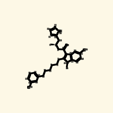 C[C@@H](CC(=O)c1c(CCCCCCc2cccc(Cl)c2)n(C)c2ccc(Cl)cc12)Cc1nnn[nH]1